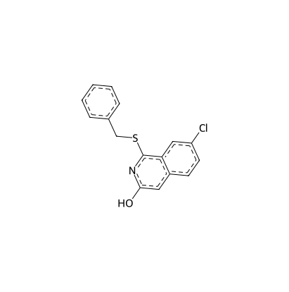 Oc1cc2ccc(Cl)cc2c(SCc2ccccc2)n1